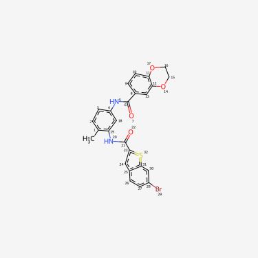 Cc1ccc(NC(=O)c2ccc3c(c2)OCCO3)cc1NC(=O)c1cc2ccc(Br)cc2s1